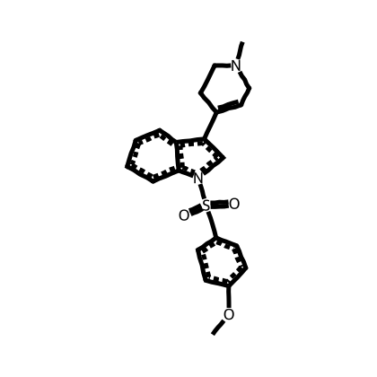 COc1ccc(S(=O)(=O)n2cc(C3=CCN(C)CC3)c3ccccc32)cc1